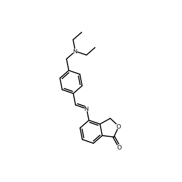 CCN(CC)Cc1ccc(C=Nc2cccc3c2COC3=O)cc1